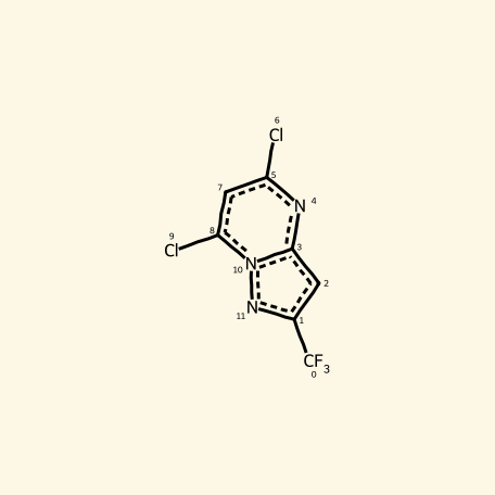 FC(F)(F)c1cc2nc(Cl)cc(Cl)n2n1